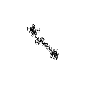 O=C(CCCC[C@@H]1SC[C@@H]2NC(=O)N[C@@H]21)NCCOCCOCCNC(=O)n1ccnc1